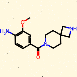 COc1cc(C(=O)N2CCC3(CC2)CNC3)ccc1N